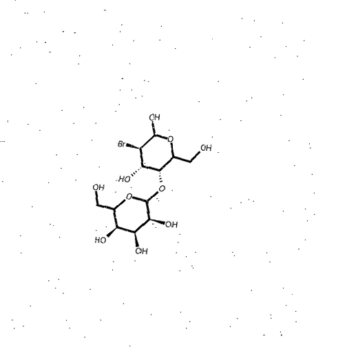 OCC1OC(O[C@H]2C(CO)OC(O)[C@H](Br)[C@H]2O)[C@@H](O)[C@@H](O)[C@H]1O